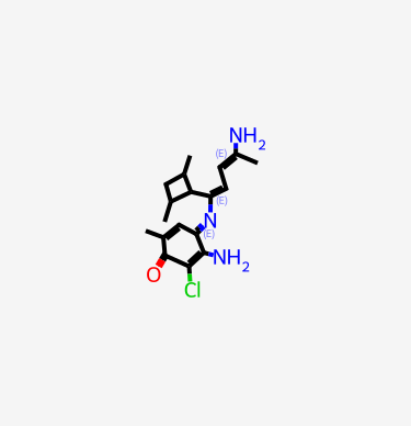 CC1=C\C(=N/C(=C/C=C(\C)N)C2C(C)CC2C)C(N)=C(Cl)C1=O